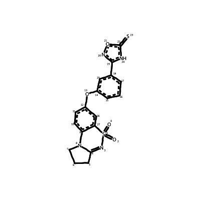 O=S1(=O)N=C2CCCN2c2ccc(Oc3cccc(-c4noc(=S)[nH]4)c3)cc21